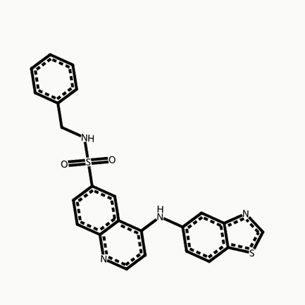 O=S(=O)(NCc1ccccc1)c1ccc2nccc(Nc3ccc4scnc4c3)c2c1